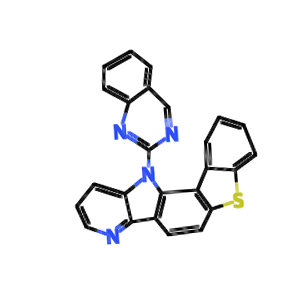 c1ccc2nc(-n3c4cccnc4c4ccc5sc6ccccc6c5c43)ncc2c1